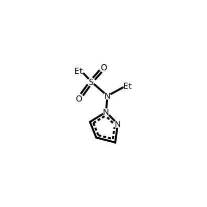 CCN(n1cccn1)S(=O)(=O)CC